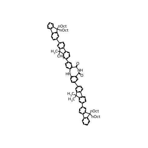 CCCCCCCCC1(CCCCCCCC)c2ccccc2-c2ccc(-c3ccc4c(c3)C(C)(C)c3cc(-c5ccc6c(c5)C(=O)NC(=O)c5cc(-c7ccc8c(c7)C(C)(C)c7cc(-c9ccc%10c(c9)C(CCCCCCCC)(CCCCCCCC)c9ccccc9-%10)ccc7-8)ccc5N6)ccc3-4)cc21